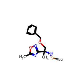 Cc1nc(C(C)(COCc2ccccc2)NSC(C)(C)C)no1